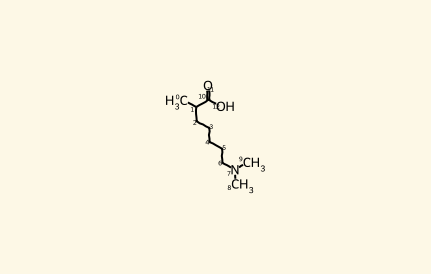 CC(CCCCCN(C)C)C(=O)O